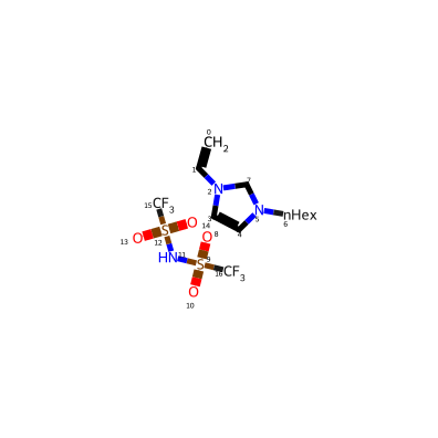 C=CN1C=CN(CCCCCC)C1.O=S(=O)(NS(=O)(=O)C(F)(F)F)C(F)(F)F